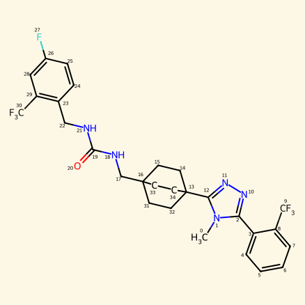 Cn1c(-c2ccccc2C(F)(F)F)nnc1C12CCC(CNC(=O)NCc3ccc(F)cc3C(F)(F)F)(CC1)CC2